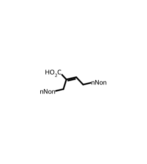 CCCCCCCCCCC=C(CCCCCCCCCC)C(=O)O